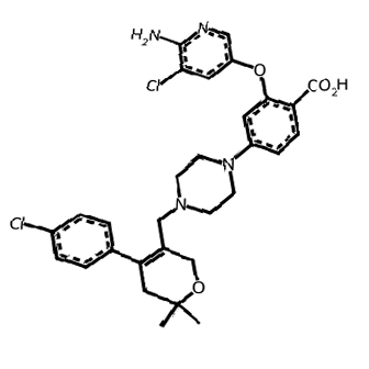 CC1(C)CC(c2ccc(Cl)cc2)=C(CN2CCN(c3ccc(C(=O)O)c(Oc4cnc(N)c(Cl)c4)c3)CC2)CO1